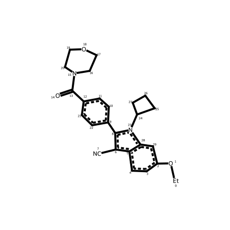 CCOc1ccc2c(C#N)c(-c3ccc(C(=O)N4CCOCC4)cc3)n(C3CCC3)c2c1